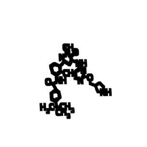 Cc1c(NC(=O)c2ccc(C(C)(C)C)cc2)cccc1-c1cc(Nc2ccnc(OCC3CCNC3)n2)c(=O)n(C)n1